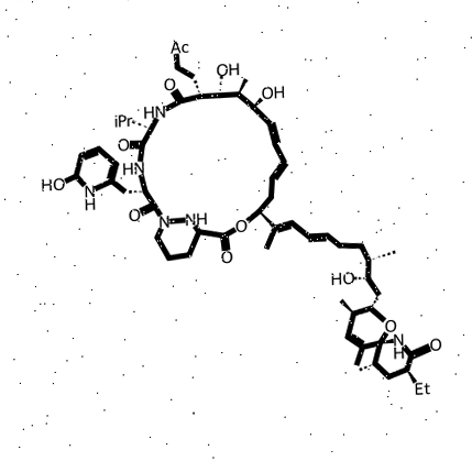 CC[C@H]1C[C@H](C)[C@@]2(NC1=O)O[C@@H](C[C@H](O)[C@@H](C)CC/C=C/C=C(\C)[C@@H]1C/C=C/C=C/[C@H](O)[C@H](C)[C@@H](O)[C@@H](CCC(C)=O)C(=O)N[C@@H](C(C)C)C(=O)N[C@@H](CC3=CC=CC(O)N3)C(=O)N3CCCC(N3)C(=O)O1)[C@H](C)C=C2C